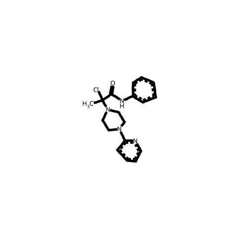 CC(Cl)(C(=O)Nc1ccccc1)N1CCN(c2ccccn2)CC1